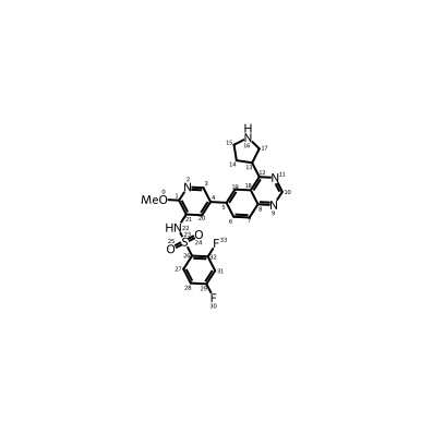 COc1ncc(-c2ccc3ncnc(C4CCNC4)c3c2)cc1NS(=O)(=O)c1ccc(F)cc1F